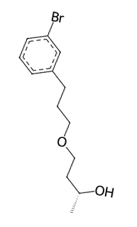 C[C@@H](O)CCOCCCc1cccc(Br)c1